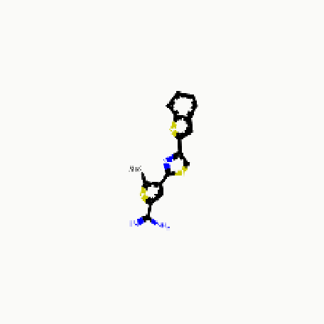 CSc1sc(C(=N)N)cc1-c1nc(-c2cc3ccccc3s2)cs1